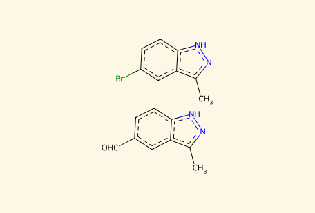 Cc1n[nH]c2ccc(Br)cc12.Cc1n[nH]c2ccc(C=O)cc12